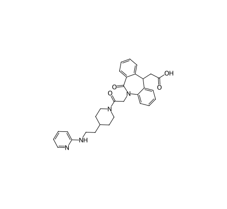 O=C(O)CC1c2ccccc2C(=O)N(CC(=O)N2CCC(CCNc3ccccn3)CC2)c2ccccc21